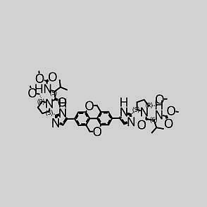 COC[C@H]1CC[C@@H](c2ncc(-c3cc4c5c(c3)OCc3cc(-c6cnc([C@@H]7CC[C@H](COC)N7C(=O)[C@@H](NC(=O)OC)C(C)C)[nH]6)cc(c3-5)OC4)[nH]2)N1C(=O)[C@@H](NC(=O)OC)C(C)C